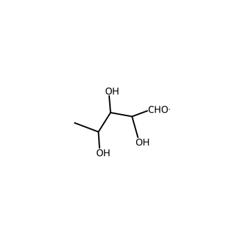 CC(O)C(O)C(O)[C]=O